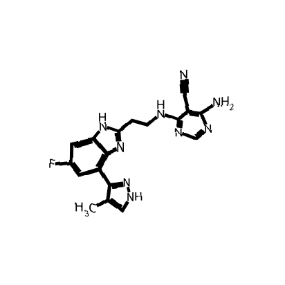 Cc1c[nH]nc1-c1cc(F)cc2[nH]c(CCNc3ncnc(N)c3C#N)nc12